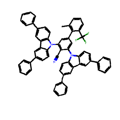 Cc1cccc(C(F)(F)F)c1-c1cc(-n2c3ccc(-c4ccccc4)cc3c3cc(-c4ccccc4)ccc32)c(C#N)c(-n2c3ccc(-c4ccccc4)cc3c3cc(-c4ccccc4)ccc32)c1